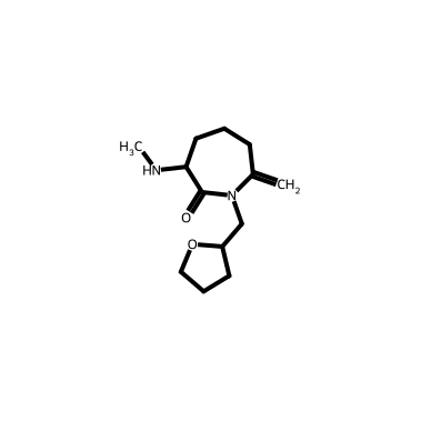 C=C1CCCC(NC)C(=O)N1CC1CCCO1